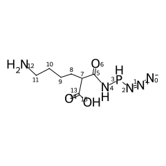 [N-]=[N+]=NPNC(=O)C(CCCCN)C(=O)O